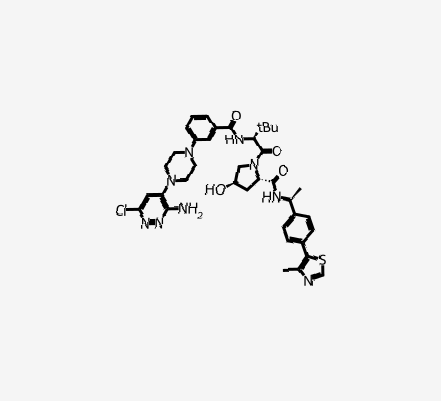 Cc1ncsc1-c1ccc([C@H](C)NC(=O)[C@@H]2C[C@@H](O)CN2C(=O)[C@@H](NC(=O)c2cccc(N3CCN(c4cc(Cl)nnc4N)CC3)c2)C(C)(C)C)cc1